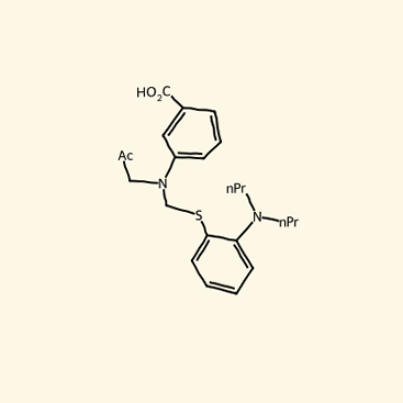 CCCN(CCC)c1ccccc1SCN(CC(C)=O)c1cccc(C(=O)O)c1